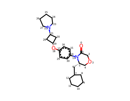 O=C1COC[C@H](CC2CCCCC2)N1c1ccc(O[C@H]2C[C@H](N3CCCCC3)C2)cc1